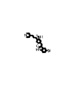 O=C1Nc2ccc(Br)cc2C1=Cc1ccc2c(C=Cc3ccncc3)n[nH]c2c1